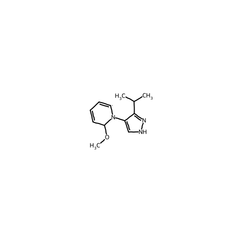 COC1C=CC=[C]N1c1c[nH]nc1C(C)C